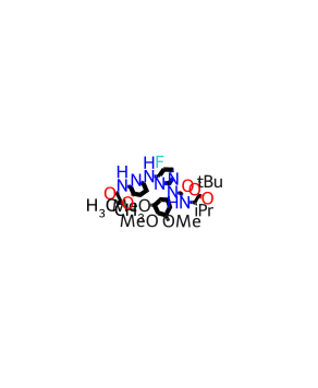 COc1cc(N(C(=O)NC(C(=O)OC(C)(C)C)C(C)C)c2ncc(F)c(Nc3ccc4c(n3)NC(=O)C(C)(C)O4)n2)cc(OC)c1OC